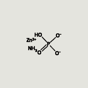 N.O=P([O-])([O-])O.[Zn+2]